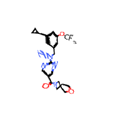 O=C(c1cnc(NCc2cc(OC(F)(F)F)cc(C3CC3)c2)nc1)N1CC2(COC2)C1